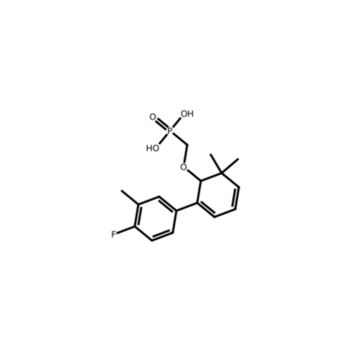 Cc1cc(C2=CC=CC(C)(C)C2OCP(=O)(O)O)ccc1F